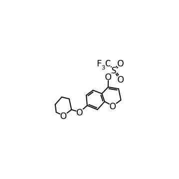 O=S(=O)(OC1=CCOc2cc(OC3CCCCO3)ccc21)C(F)(F)F